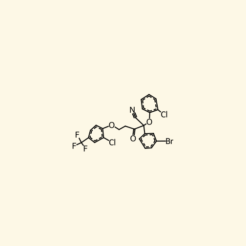 N#CC(Oc1ccccc1Cl)(C(=O)CCOc1ccc(C(F)(F)F)cc1Cl)c1cccc(Br)c1